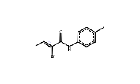 C/C=C(\Br)C(=O)Nc1ccc(F)cc1